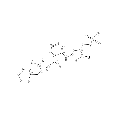 NS(=O)(=O)OC[C@H]1C[C@@H](Nc2ncncc2C(=O)c2cc(Cc3ccccc3)c(Cl)s2)C[C@@H]1O